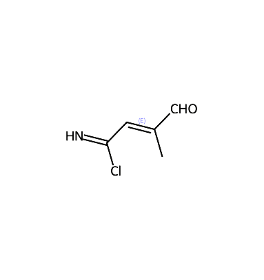 C/C(C=O)=C\C(=N)Cl